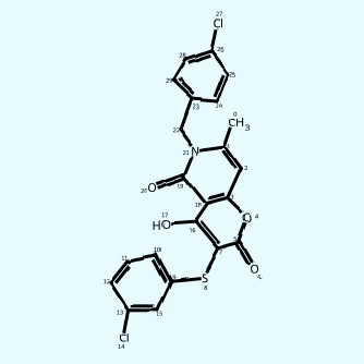 Cc1cc2oc(=O)c(Sc3cccc(Cl)c3)c(O)c2c(=O)n1Cc1ccc(Cl)cc1